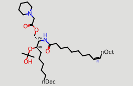 CCCCCCCC/C=C\CCCCCCCC(=O)N[C@@H](COC(=O)CN1CCCCC1)[C@@H](CCCCCCCCCCCCCCC)OC(C)(C)O